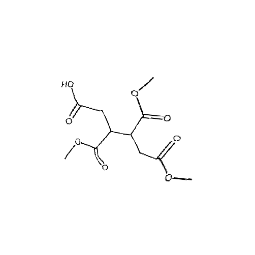 COC(=O)CC(C(=O)OC)C(CC(=O)O)C(=O)OC